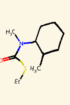 CCSC(=O)N(C)C1CCCCC1C